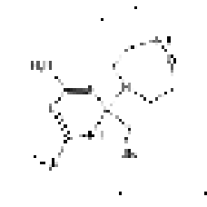 CC(C)(C)CC1(N2CCNOCC2)N=C(N)N=C(N)N1